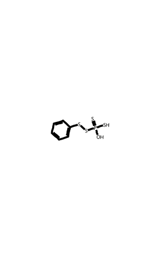 OP(=S)(S)SSc1ccccc1